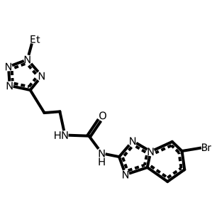 CCn1nnc(CCNC(=O)Nc2nc3ccc(Br)cn3n2)n1